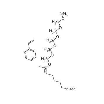 C=Cc1ccccc1.CCCCCCCCCCCCCCC[SiH](C)O[SiH2]O[SiH2]O[SiH2]O[SiH2]O[SiH2]O[SiH3]